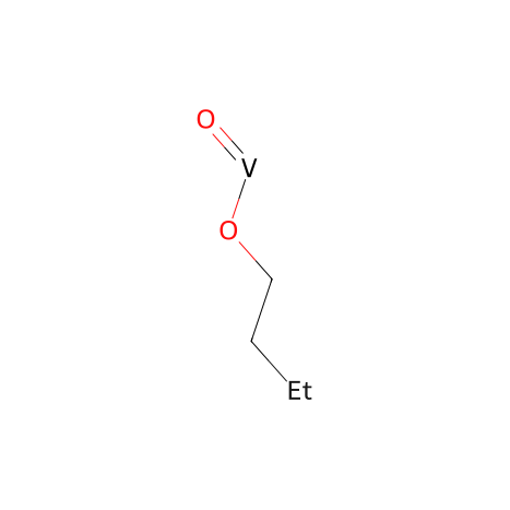 CCCC[O][V]=[O]